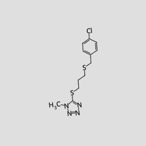 Cn1nnnc1SCCCSCc1ccc(Cl)cc1